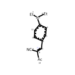 CCN(CC)c1ccc(/C=C(\C#N)C(C)=O)cc1